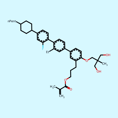 C=C(C)C(=O)OCCCc1cc(-c2ccc(-c3ccc(C4CCC(CCCCC)CC4)cc3F)c(CC)c2)ccc1OCC(C)(CO)CO